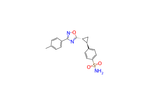 Cc1ccc(-c2noc([C@@H]3C[C@H]3c3ccc(S(N)(=O)=O)cc3)n2)cc1